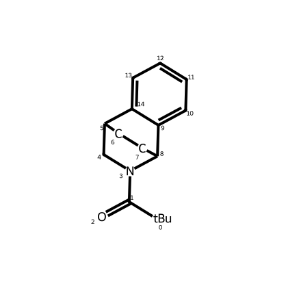 CC(C)(C)C(=O)N1CC2CCC1c1ccccc12